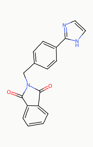 O=C1c2ccccc2C(=O)N1Cc1ccc(-c2ncc[nH]2)cc1